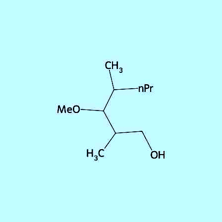 CCCC(C)C(OC)C(C)CO